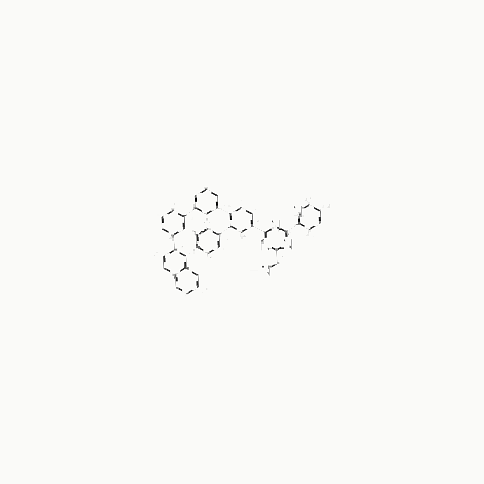 N=Cc1nc(-c2ccc(-c3cccc(-c4cccc(-c5ccc6ccccc6c5)c4)c3)c(-c3ccccc3)c2)nc(-c2ccccn2)n1